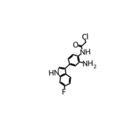 Nc1cc(-c2c[nH]c3cc(F)ccc23)ccc1NC(=O)CCl